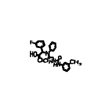 Cc1cccc(NC(=O)NCC(=O)N(c2ccccc2)C(C(=O)O)c2cccc(F)c2)c1